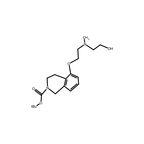 CN(CCO)CCOc1cccc2c1CCN(C(=O)OC(C)(C)C)C2